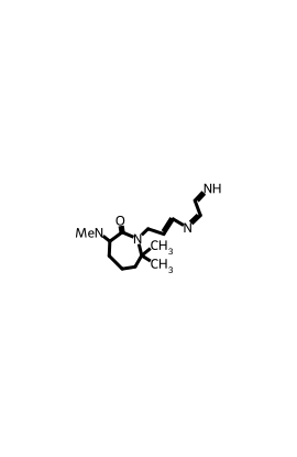 CNC1CCCC(C)(C)N(C/C=C/N=C\C=N)C1=O